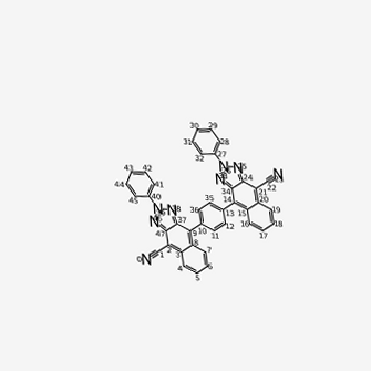 N#Cc1c2ccccc2c(-c2ccc(-c3c4ccccc4c(C#N)c4nn(-c5ccccc5)nc34)cc2)c2nn(-c3ccccc3)nc12